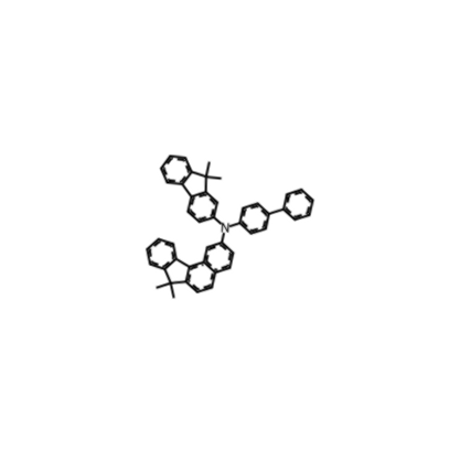 CC1(C)c2ccccc2-c2ccc(N(c3ccc(-c4ccccc4)cc3)c3ccc4ccc5c(c4c3)-c3ccccc3C5(C)C)cc21